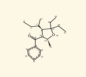 CCC(C)[C@@H]1N(C(=O)c2ccccc2)[C@H](C)OC1(CC)CC